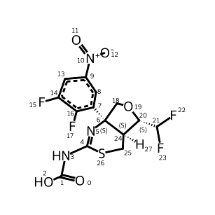 O=C(O)NC1=N[C@@]2(c3cc([N+](=O)[O-])cc(F)c3F)CO[C@H](C(F)F)[C@H]2CS1